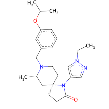 CCn1cc(N2C(=O)CC[C@]23CCN(Cc2cccc(OC(C)C)c2)[C@@H](C)C3)cn1